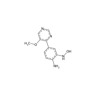 COc1cncnc1-c1ccc(N)c(NO)c1